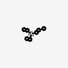 c1ccc(-c2ccc3cc(-c4nc(-c5ccc6ccccc6c5)nc(-c5cccc6ccccc56)n4)ccc3c2)cc1